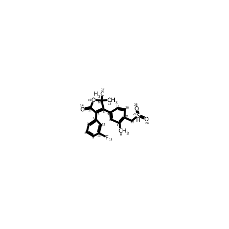 Cc1cc(C2=C(c3cccc(F)c3)C(=O)OC2(C)C)ccc1C[SH](=O)=O